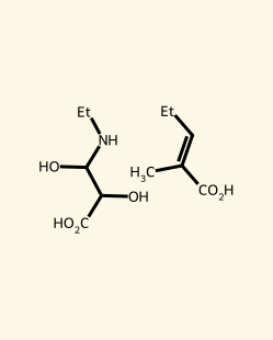 CCC=C(C)C(=O)O.CCNC(O)C(O)C(=O)O